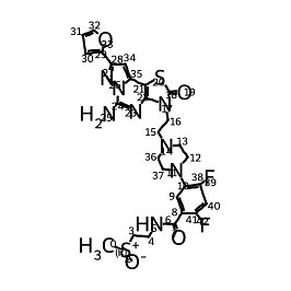 C[S@+]([O-])CCNC(=O)c1cc(N2CCN(CCn3c(=O)sc4c3nc(N)n3nc(-c5ccco5)cc43)CC2)c(F)cc1F